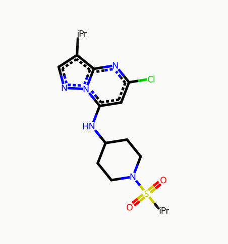 CC(C)c1cnn2c(NC3CCN(S(=O)(=O)C(C)C)CC3)cc(Cl)nc12